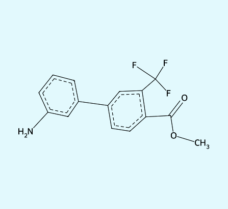 COC(=O)c1ccc(-c2cccc(N)c2)cc1C(F)(F)F